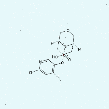 O=C(O)N1[C@@H]2COC[C@H]1C[C@H](Oc1cnc(Cl)cc1I)C2